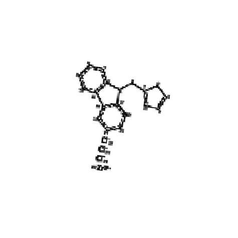 C1=CCC(CC2c3ccccc3-c3ccccc32)=C1.[Cl-].[Cl-].[Cl-].[Zr+3]